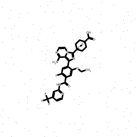 CCOc1cc(C(=O)Nc2cc(C(F)(F)F)ccn2)c(F)cc1-c1nc(C23CCC(C(=O)O)(CC2)CC3)n2ccnc(N)c12